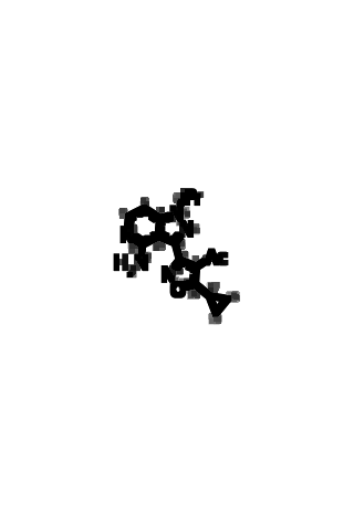 CC(=O)c1c(-c2nn(C(C)C)c3ccnc(N)c23)noc1C1CC1